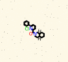 O=C(c1cccc(-c2ccccc2Cl)n1)N1CC[C@H]2CCCC[C@@H]2C1